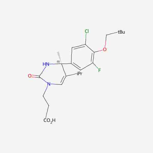 CC(C)C1=CN(CCC(=O)O)C(=O)N[C@@]1(C)c1cc(F)c(OCC(C)(C)C)c(Cl)c1